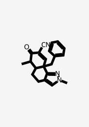 CC1C(=O)C(C#N)=CC2(Cc3ccccc3)c3nn(C)cc3CCC12